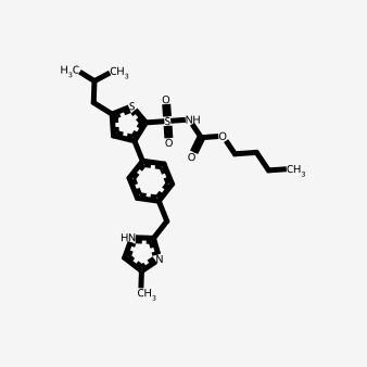 CCCCOC(=O)NS(=O)(=O)c1sc(CC(C)C)cc1-c1ccc(Cc2nc(C)c[nH]2)cc1